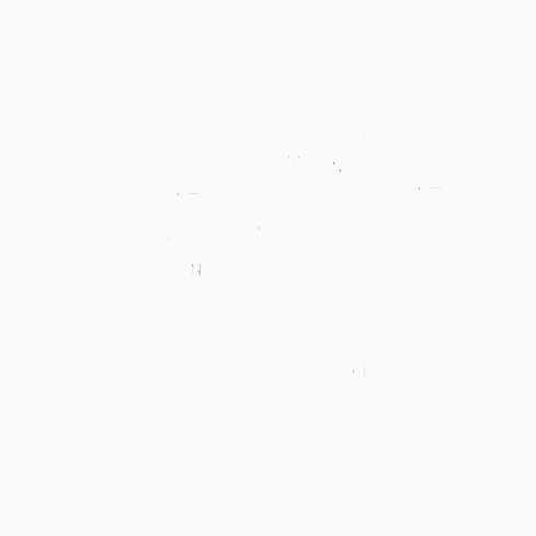 COC(=C1C(=O)N(C(C)=O)c2cc(Cl)ccc21)c1ccc(O)c([N+](=O)[O-])c1